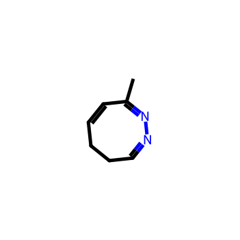 C/C1=N/N=C\CCC=C1